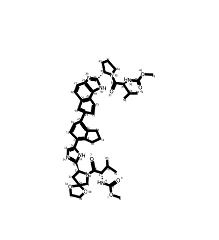 COC(=O)N[C@H](C(=O)N1CC2(C[C@H]1c1ncc(-c3ccc(-c4ccc5c(ccc6nc([C@@H]7CCCN7C(=O)[C@@H](NC(=O)OC)C(C)C)[nH]c65)c4)c4c3CCC4)[nH]1)OCCO2)C(C)C